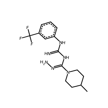 CC1CCN(C(=NN)NC(=N)Nc2cccc(C(F)(F)F)c2)CC1